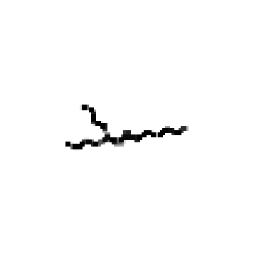 CCCCCC[O][Sn][CH](CCCC)CCCC